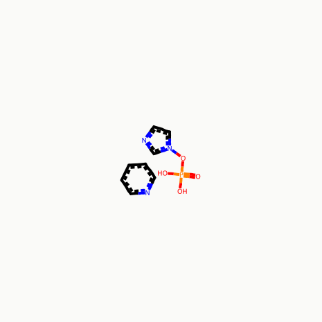 O=P(O)(O)On1ccnc1.c1ccncc1